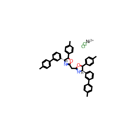 Cc1ccc(-c2cccc([C@H]3N=C(CC4=N[C@H](c5cccc(-c6ccc(C)cc6)c5)C(c5ccc(C)cc5)O4)OC3c3ccc(C)cc3)c2)cc1.[Cl-].[Cl-].[Ni+2]